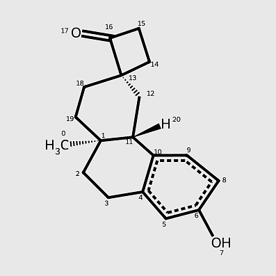 C[C@@]12CCc3cc(O)ccc3[C@H]1C[C@]1(CCC1=O)CC2